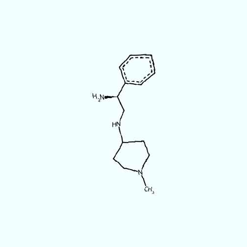 CN1CCC(NC[C@@H](N)c2ccccc2)CC1